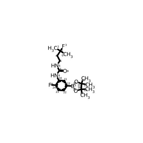 CC(C)(F)CCNC(=O)Nc1cc(B2OC(C)(C)C(C)(C)O2)ccc1F